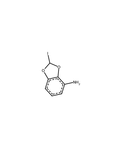 Nc1cccc2c1OC(I)O2